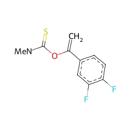 C=C(OC(=S)NC)c1ccc(F)c(F)c1